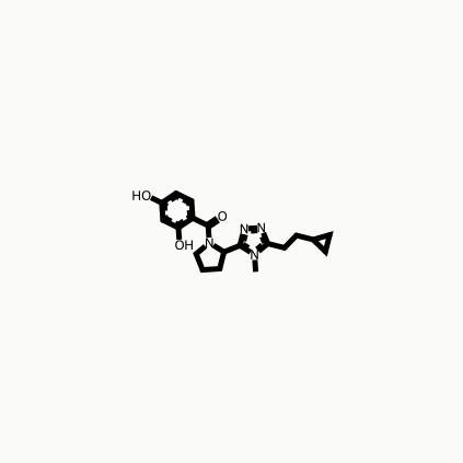 Cn1c(CCC2CC2)nnc1C1CCCN1C(=O)c1ccc(O)cc1O